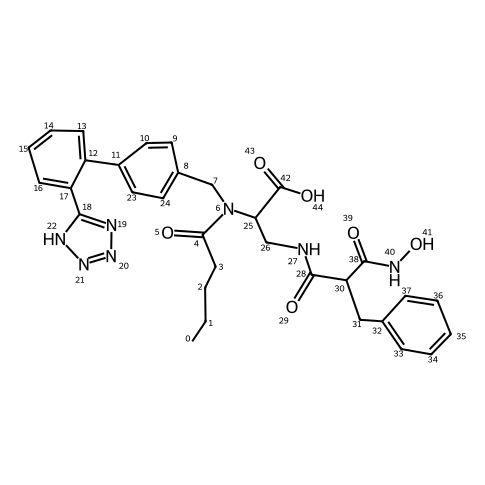 CCCCC(=O)N(Cc1ccc(-c2ccccc2-c2nnn[nH]2)cc1)C(CNC(=O)C(Cc1ccccc1)C(=O)NO)C(=O)O